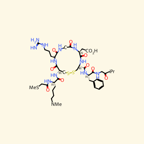 CNCCCC[C@H](NC(=O)CSC)C(=O)N[C@H]1CSSC[C@@H](C(=O)N[C@@H](Cc2ccccc2)C(=O)NCC(=O)C(C)C)NC(=O)[C@H](CC(=O)O)NC(=O)CNC(=O)[C@H](CCCNC(=N)N)NC1=O